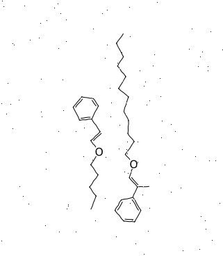 CCCCCCCCCCCCOC=C(C)c1ccccc1.CCCCCOC=Cc1ccccc1